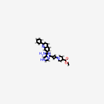 CCOC(=O)C1CCN(C2CC(C3=NC(N)(c4ccc5ccc(-c6ccccc6)nc5c4)C4=CNC=CN43)C2)CC1